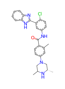 Cc1cc(N2CC(C)N[C@@H](C)C2)ccc1C(=O)Nc1ccc(Cl)c(-c2nc3ccccc3[nH]2)c1